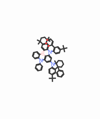 CC(C)(C)c1ccc(N2c3cc4c(cc3B3c5ccccc5N(c5ccccc5)c5cc(N6c7ccc(C(C)(C)C)cc7C7(c8ccccc8)CCCCC67C)cc2c53)C(C)(C)CCC4(C)C)c(-c2ccccc2)c1